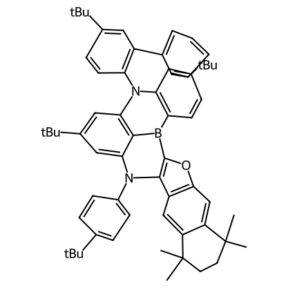 CC(C)(C)c1ccc(N2c3cc(C(C)(C)C)cc4c3B(c3ccc(C(C)(C)C)cc3N4c3ccc(C(C)(C)C)cc3-c3ccccc3)c3oc4cc5c(cc4c32)C(C)(C)CCC5(C)C)cc1